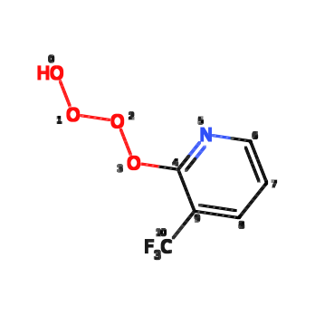 OOOOc1ncccc1C(F)(F)F